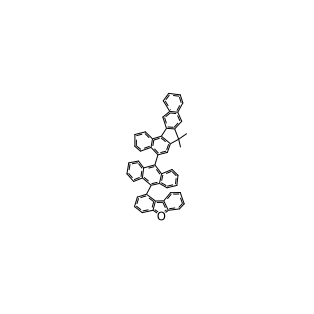 CC1(C)c2cc3ccccc3cc2-c2c1cc(-c1c3ccccc3c(-c3cccc4oc5ccccc5c34)c3ccccc13)c1ccccc21